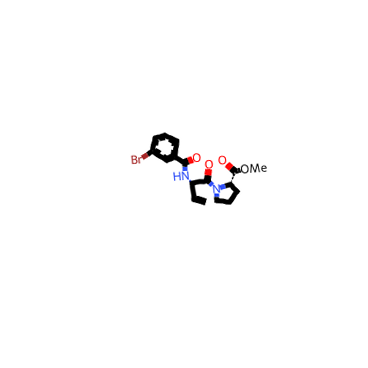 C=C[C@H](NC(=O)c1cccc(Br)c1)C(=O)N1CCC[C@H]1C(=O)OC